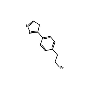 CC(C)CCc1ccc(C2=NN=CC2)cc1